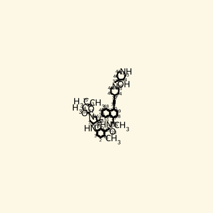 Cc1ccc(N[C@H]2CN(C(=O)OC(C)(C)C)CC2(F)F)cc1C(=O)N[C@H](C)c1ccc(C#CC2CCN(CC3(O)CCNCC3)CC2)c2ccccc12